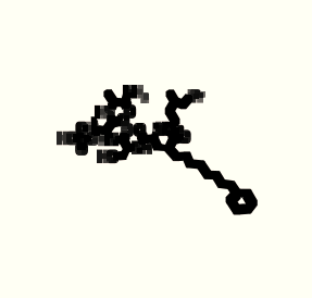 CN[C@@H](C[C@H](CCCCCCCCc1ccccc1)C(=O)NCCC(C)CC(C)C)C(=O)N[C@@H](CO)C(=O)N[C@H](C(=O)NC(C)C(N)=O)[C@@H](C)OP(=O)(O)O